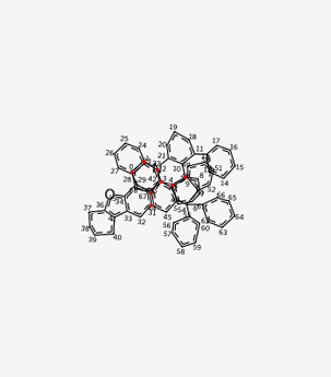 c1ccc(-c2ccccc2-c2c(-c3ccccc3)cccc2N(c2ccccc2-c2cccc3c2oc2ccccc23)c2cccc3c2-c2ccccc2C3(c2ccccc2)c2ccccc2)cc1